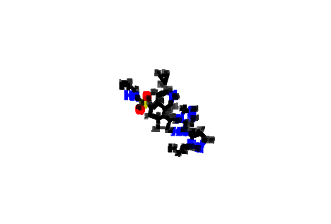 CC(C)CNS(=O)(=O)c1cc2c(c3cnc(C4CC4)cc13)C(n1cnnc1Nc1ccnn1C)CC2